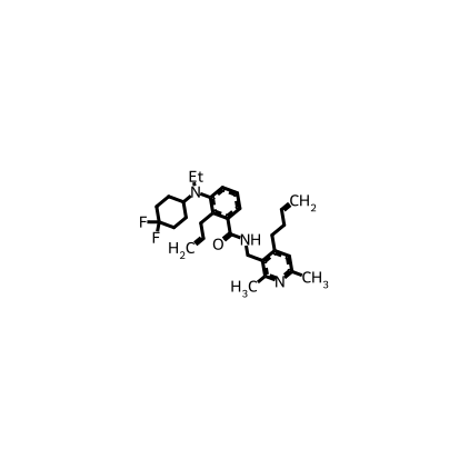 C=CCCc1cc(C)nc(C)c1CNC(=O)c1cccc(N(CC)C2CCC(F)(F)CC2)c1CC=C